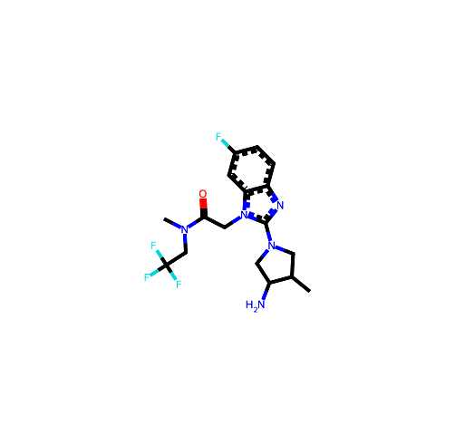 CC1CN(c2nc3ccc(F)cc3n2CC(=O)N(C)CC(F)(F)F)CC1N